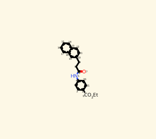 CCOC(=O)c1ccc(NC(=O)CCc2ccc3ccccc3c2)cc1